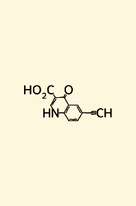 C#Cc1ccc2[nH]cc(C(=O)O)c(=O)c2c1